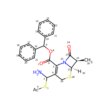 CC(=O)SC(N)C1=C(C(=O)OC(c2ccccc2)c2ccccc2)N2C(=O)[C@@H](C)[C@H]2SC1